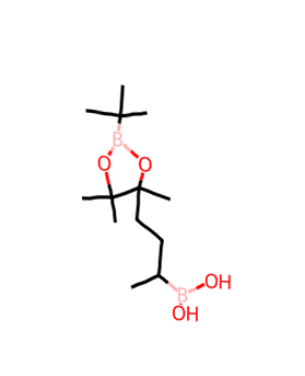 CC(CCC1(C)OB(C(C)(C)C)OC1(C)C)B(O)O